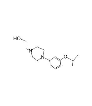 CC(C)Oc1[c]ccc(N2CCN(CCO)CC2)c1